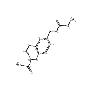 COC(=O)CCc1ncc2c(n1)CCC(C(=O)O)C2